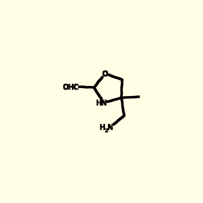 CC1(CN)COC(C=O)N1